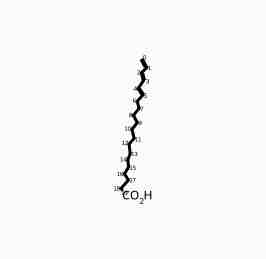 C=CC=CC=CCCCCCCCCCCCCCC(=O)O